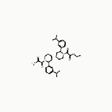 CCOC(=O)C(=O)N1CCCCC1c1cccc(N(C)C)c1.CN(C)c1cccc(C2CCCCN2C(=O)C(N)=O)c1